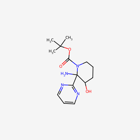 CC(C)(C)OC(=O)N1CCCC(O)C1(N)c1ncccn1